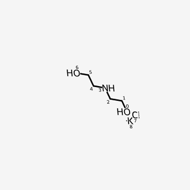 OCCNCCO.[C].[K]